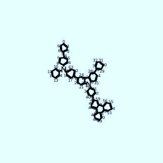 c1ccc(-c2ccc(N(c3ccccc3)c3ccc(-c4ccc5c(c4)c4cc(-c6ccccc6)ccc4n5-c4ccc(-c5ccc6c7ccccc7c7ccccc7c6c5)cc4)cc3)cc2)cc1